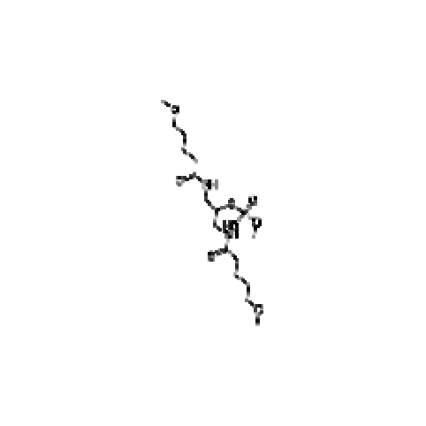 COCCCCC(=O)NCC(CNC(=O)CCCCOC)OP(=O)(O)OC